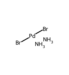 N.N.[Br][Pd][Br]